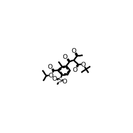 CC(=O)C(C(=O)OC(C)(C)C)C(=O)c1ccc(S(C)(=O)=O)c(C(=O)OC(C)C)c1C